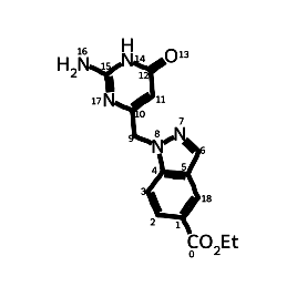 CCOC(=O)c1ccc2c(cnn2Cc2cc(=O)[nH]c(N)n2)c1